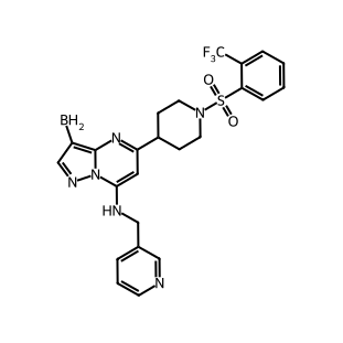 Bc1cnn2c(NCc3cccnc3)cc(C3CCN(S(=O)(=O)c4ccccc4C(F)(F)F)CC3)nc12